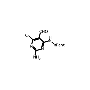 CCCCCNc1nc(N)nc(Cl)c1C=O